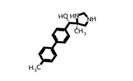 Cc1ccc(-c2ccc([C@H](O)[C@]3(C)CNCN3)cc2)cc1